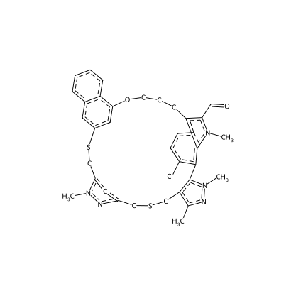 Cc1nn(C)c2c1CSCc1cc(n(C)n1)CSc1cc(c3ccccc3c1)OCCCc1c(C=O)n(C)c3c-2c(Cl)ccc13